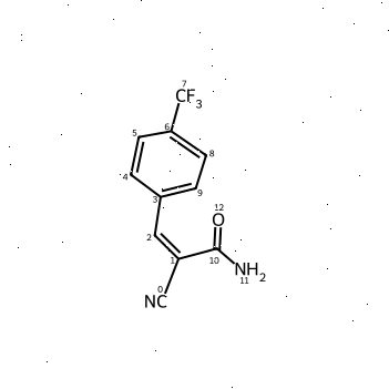 N#C/C(=C/c1ccc(C(F)(F)F)cc1)C(N)=O